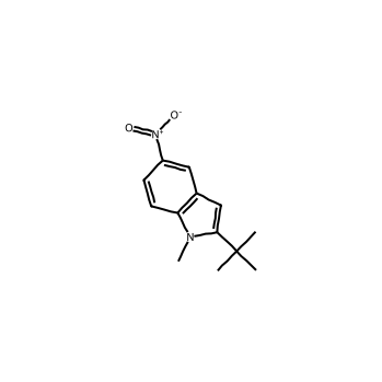 Cn1c(C(C)(C)C)cc2cc([N+](=O)[O-])ccc21